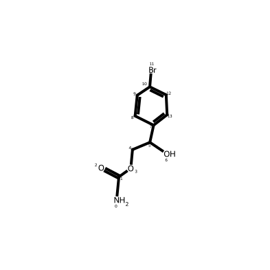 NC(=O)OCC(O)c1ccc(Br)cc1